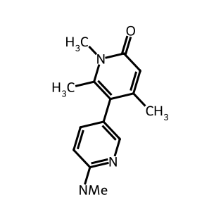 CNc1ccc(-c2c(C)cc(=O)n(C)c2C)cn1